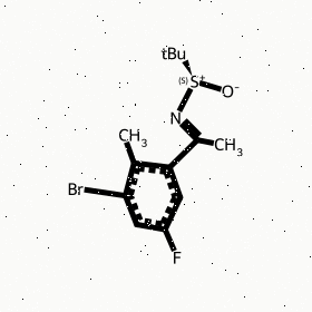 CC(=N[S@+]([O-])C(C)(C)C)c1cc(F)cc(Br)c1C